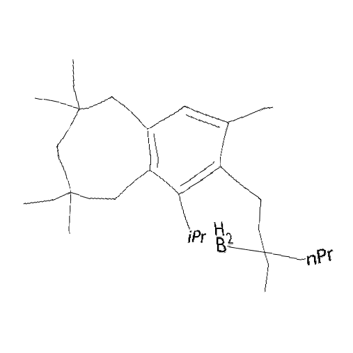 BC(C)(CCC)Cc1c(C)cc2c(c1C(C)C)CC(C)(C)CC(C)(C)C2